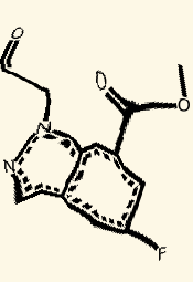 COC(=O)c1cc(F)cc2cnn(CC=O)c12